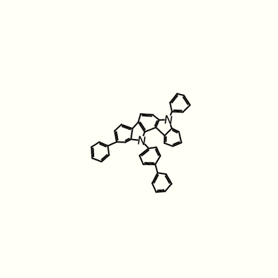 c1ccc(-c2ccc(-n3c4cc(-c5ccccc5)ccc4c4ccc5c(c6ccccc6n5-c5ccccc5)c43)cc2)cc1